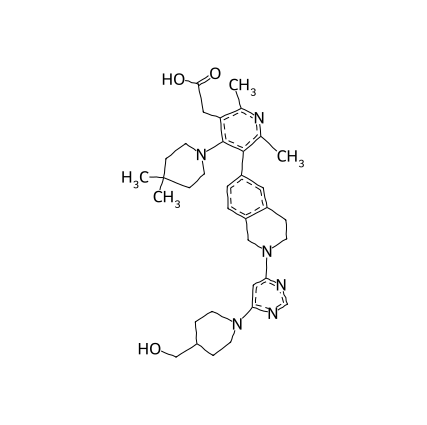 Cc1nc(C)c(-c2ccc3c(c2)CCN(c2cc(N4CCC(CO)CC4)ncn2)C3)c(N2CCC(C)(C)CC2)c1CC(=O)O